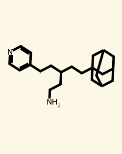 NCCC(C[CH]c1ccncc1)CCC12CC3CC(CC(C3)C1)C2